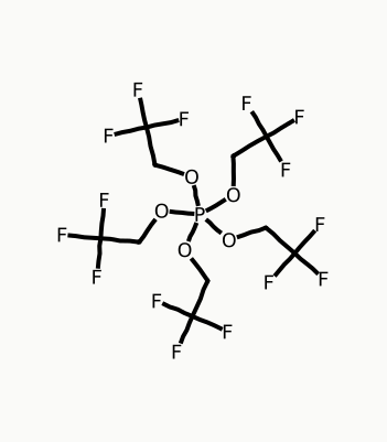 FC(F)(F)COP(OCC(F)(F)F)(OCC(F)(F)F)(OCC(F)(F)F)OCC(F)(F)F